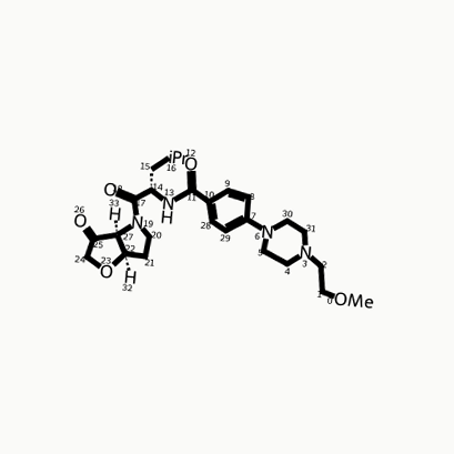 COCCN1CCN(c2ccc(C(=O)N[C@@H](CC(C)C)C(=O)N3CC[C@H]4OCC(=O)[C@H]43)cc2)CC1